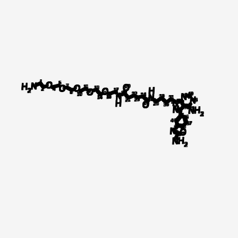 NCCOCCOCCOCCOCCOCCNC(=O)CCCCC(=O)NCCCCn1nc(-c2ccc3oc(N)nc3c2)c2c(N)ncnc21